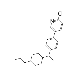 CCCC1CCC(C(C)c2ccc(-c3ccc(Cl)nc3)cc2)CC1